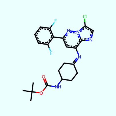 CC(C)(C)OC(=O)NC1CCC(=Nc2cc(-c3c(F)cccc3F)nn3c(Cl)cnc23)CC1